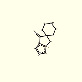 O=C1c2cccn2CC12CCNCC2